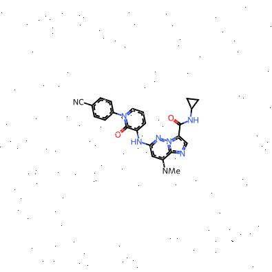 CNc1cc(Nc2cccn(-c3ccc(C#N)cc3)c2=O)nn2c(C(=O)NC3CC3)cnc12